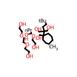 CC1CCCC(CO)(C(CO)(CO)CCC(C)(C)C)CC1.CCCC(O)OCCO.OCCOCCOCCO